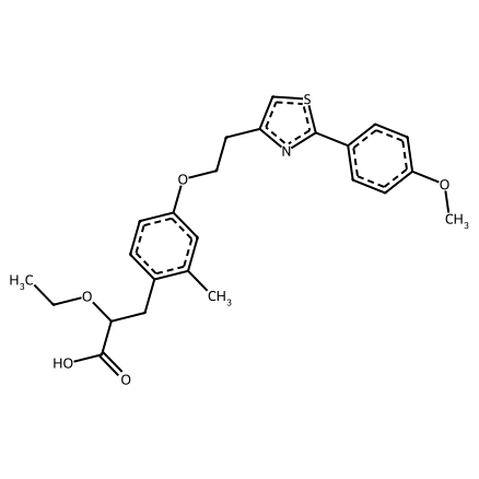 CCOC(Cc1ccc(OCCc2csc(-c3ccc(OC)cc3)n2)cc1C)C(=O)O